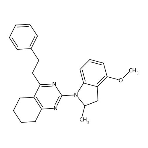 COc1cccc2c1CC(C)N2c1nc2c(c(CCc3ccccc3)n1)CCCC2